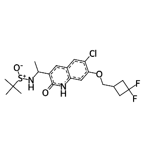 CC(N[S+]([O-])C(C)(C)C)c1cc2cc(Cl)c(OCC3CC(F)(F)C3)cc2[nH]c1=O